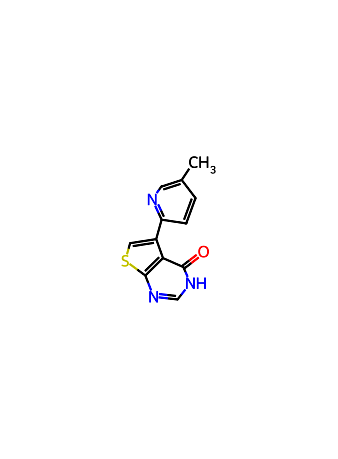 Cc1ccc(-c2csc3nc[nH]c(=O)c23)nc1